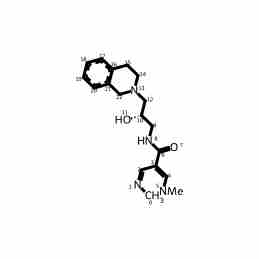 C/N=C\C(=C/NC)C(=O)NC[C@H](O)CN1CCc2ccccc2C1